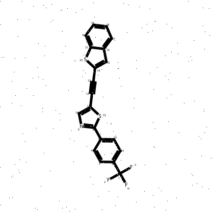 FC(F)(F)c1ccc(-c2ncc(C#Cc3cc4ccccc4s3)s2)cc1